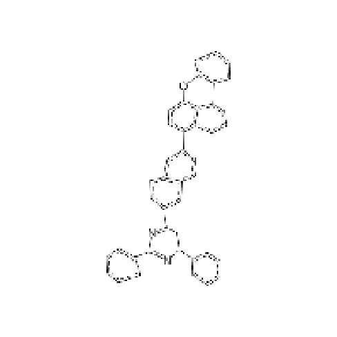 c1ccc(C2=NC(c3ccccc3)CC(c3ccc4cc(-c5ccc6c7c(cccc57)-c5ccccc5O6)ncc4c3)=N2)cc1